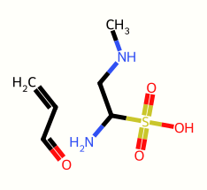 C=CC=O.CNCC(N)S(=O)(=O)O